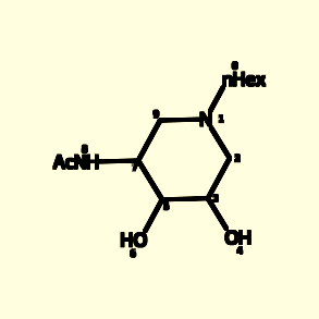 CCCCCCN1CC(O)C(O)C(NC(C)=O)C1